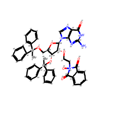 CC(C)(C)[Si](OC[C@H]1O[C@@H](n2cnc3c(=O)[nH]c(N)nc32)[C@H](OCC[N+]2([O-])C(=O)c3ccccc3C2=O)[C@@H]1O[Si](c1ccccc1)(c1ccccc1)C(C)(C)C)(c1ccccc1)c1ccccc1